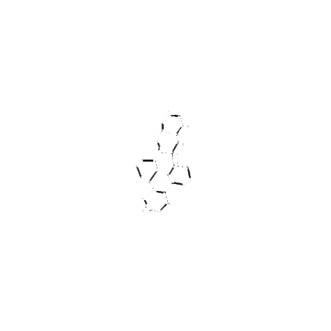 c1ccc(-c2cnccc2-c2cccc(-c3cc4ccccc4cn3)c2)cc1